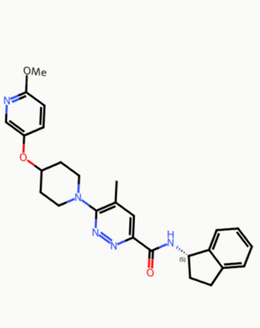 COc1ccc(OC2CCN(c3nnc(C(=O)N[C@H]4CCc5ccccc54)cc3C)CC2)cn1